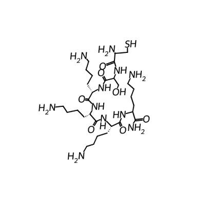 NCCCCC(NC(=O)[C@H](CCCCN)NC(=O)[C@H](CCCCN)NC(=O)[C@H](CCCCN)NC(=O)C(CO)NC(=O)[C@@H](N)CS)C(N)=O